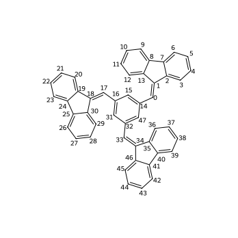 C(=C1c2ccccc2-c2ccccc21)c1cc(C=C2c3ccccc3-c3ccccc32)cc(C=C2c3ccccc3-c3ccccc32)c1